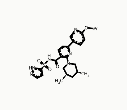 CC(C)Oc1ccc(-c2ccc(C(=O)NS(=O)(=O)c3ccn[nH]3)c(N3C[C@H](C)C[C@H](C)C3)n2)cn1